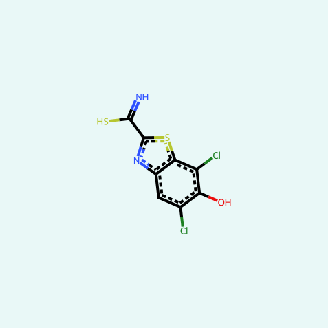 N=C(S)c1nc2cc(Cl)c(O)c(Cl)c2s1